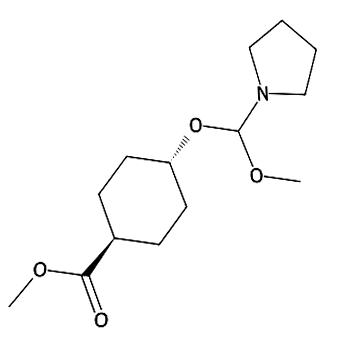 COC(=O)[C@H]1CC[C@H](OC(OC)N2CCCC2)CC1